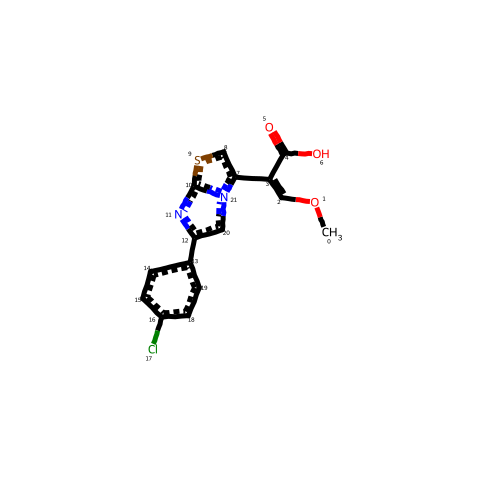 COC=C(C(=O)O)c1csc2nc(-c3ccc(Cl)cc3)cn12